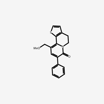 COCc1cc(-c2ccccc2)c(=O)n2c1-c1sccc1CC2